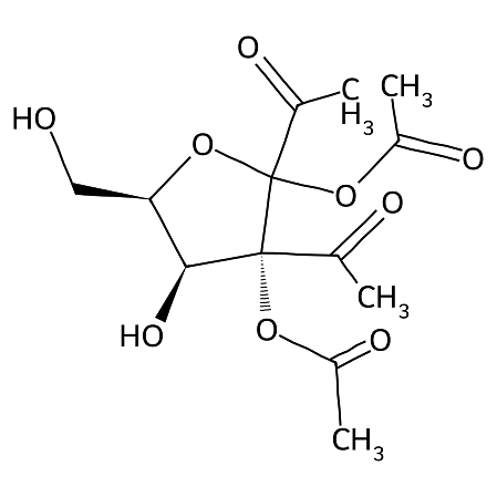 CC(=O)OC1(C(C)=O)O[C@H](CO)[C@H](O)[C@]1(OC(C)=O)C(C)=O